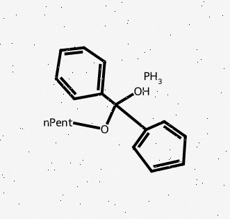 CCCCCOC(O)(c1ccccc1)c1ccccc1.P